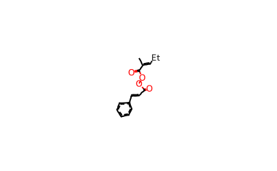 CCC=C(C)C(=O)OOC(=O)C=Cc1ccccc1